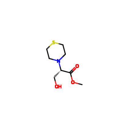 COC(=O)[C@H](CO)N1CCSCC1